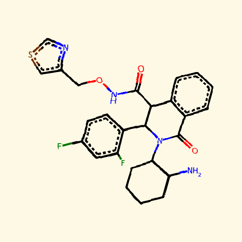 NC1CCCCC1N1C(=O)c2ccccc2C(C(=O)NOCc2cscn2)C1c1ccc(F)cc1F